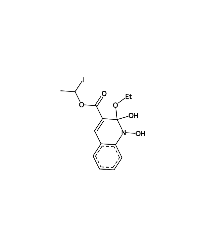 CCOC1(O)C(C(=O)OC(C)I)=Cc2ccccc2N1O